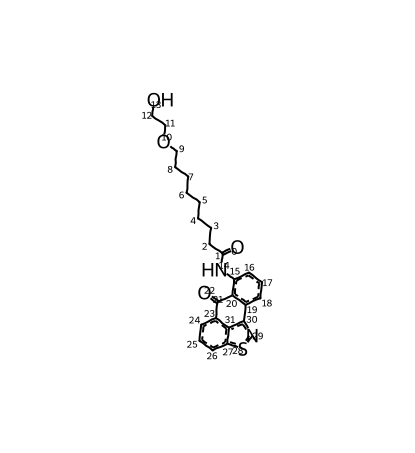 O=C(CCCCCCCCOCCO)Nc1cccc2c1C(=O)c1cccc3snc-2c13